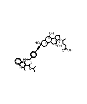 Cc1nc2ccccc2c(NCc2ccc(C#C[C@@]3(O)CC[C@@]4(C)C(C[C@@H](O)C5C4C[C@H](O)[C@@]4(C)C5CC[C@@H]4C(C)CCC(=O)O)C3)cc2)c1C(=O)OC(C)C